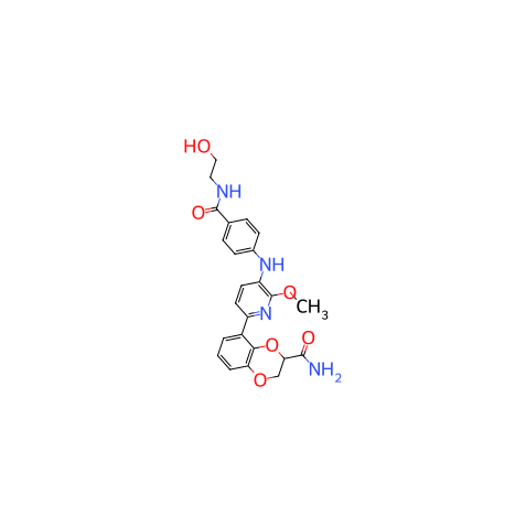 COc1nc(-c2cccc3c2OC(C(N)=O)CO3)ccc1Nc1ccc(C(=O)NCCO)cc1